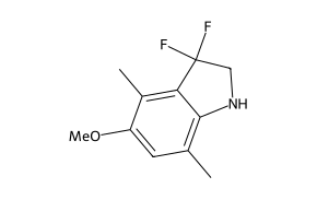 COc1cc(C)c2c(c1C)C(F)(F)CN2